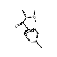 Cc1ccc(C(=O)C(C)N(C)C)cc1